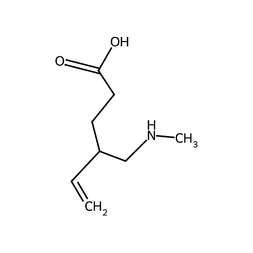 C=CC(CCC(=O)O)CNC